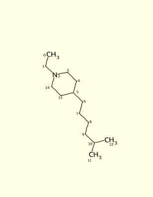 CCN1CCC(CCCCC(C)C)CC1